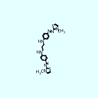 CN1C=CSC1N=Nc1ccc(NCCCNc2ccc(N=NC3SC=CN3C)cc2)cc1